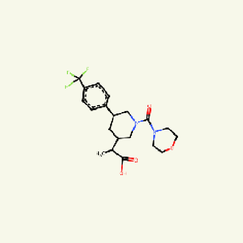 CC(C(=O)O)C1CC(c2ccc(C(F)(F)F)cc2)CN(C(=O)N2CCOCC2)C1